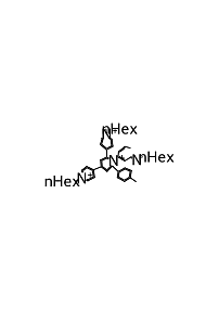 C\C=C/C(=C\C=N\CCCCCC)[n+]1c(-c2ccc(C)cc2)cc(-c2cc[n+](CCCCCC)cc2)cc1-c1cc[n+](CCCCCC)cc1